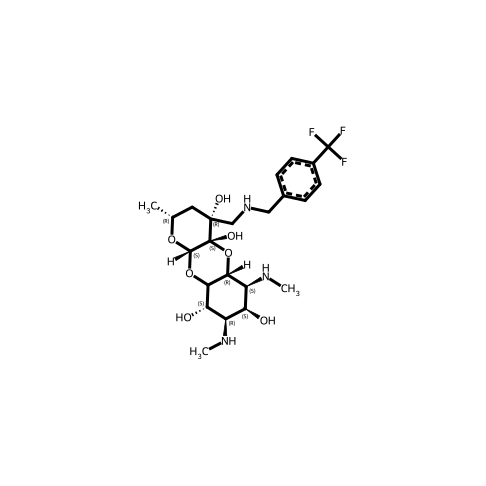 CN[C@@H]1[C@H](O)[C@H](NC)[C@H]2O[C@]3(O)[C@H](OC2[C@H]1O)O[C@H](C)C[C@@]3(O)CNCc1ccc(C(F)(F)F)cc1